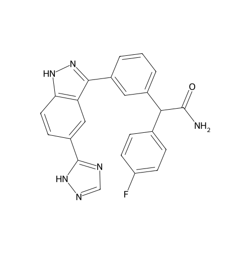 NC(=O)C(c1ccc(F)cc1)c1cccc(-c2n[nH]c3ccc(-c4ncn[nH]4)cc23)c1